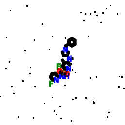 Cc1c(N(C)C2CCN(Cc3ccccc3)C2)cnc(S(=O)(=O)Nc2cccc(F)n2)c1F